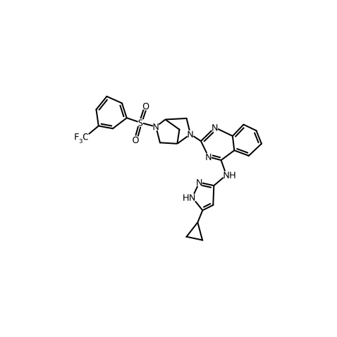 O=S(=O)(c1cccc(C(F)(F)F)c1)N1CC2CC1CN2c1nc(Nc2cc(C3CC3)[nH]n2)c2ccccc2n1